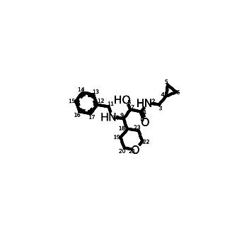 O=C(NCC1CC1)C(O)C(NCc1ccccc1)C1CCOCC1